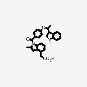 Cc1cc2c(CC(=O)O)cccc2n1C(=O)c1ccc(OC(C)C2CNc3ccccc32)cc1